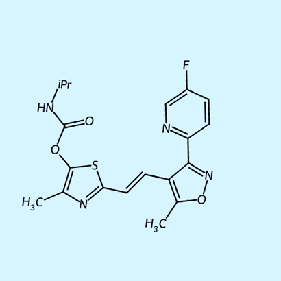 Cc1nc(/C=C/c2c(-c3ccc(F)cn3)noc2C)sc1OC(=O)NC(C)C